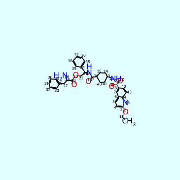 CCOc1ccc2cc(S(=O)(=O)NC3CCC(C(=O)NC(COC(=O)C(N)Cc4ccccc4)c4ccccc4)CC3)ccc2n1